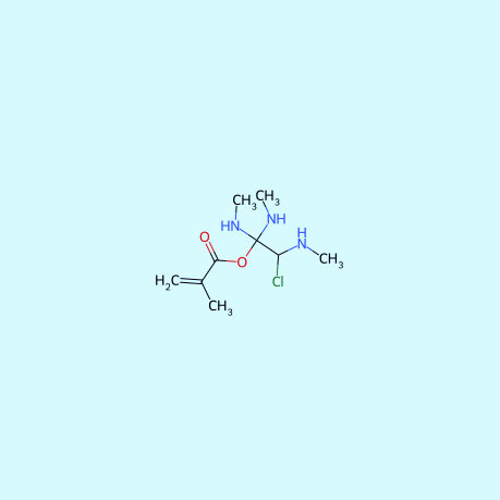 C=C(C)C(=O)OC(NC)(NC)C(Cl)NC